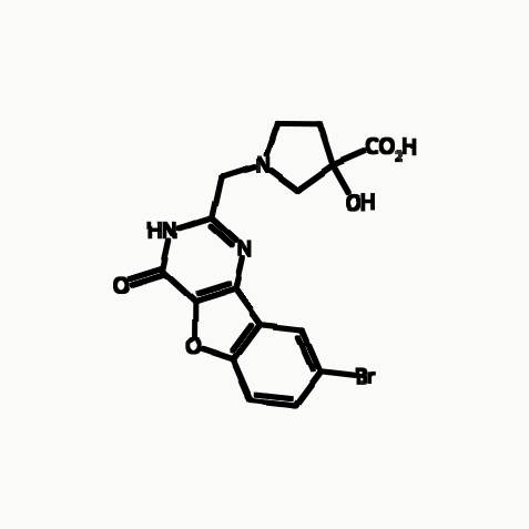 O=C(O)C1(O)CCN(Cc2nc3c(oc4ccc(Br)cc43)c(=O)[nH]2)C1